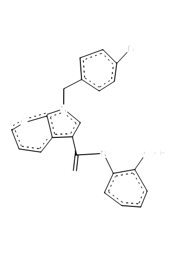 O=C(O)c1ccccc1NC(=O)c1cn(Cc2ccc(Br)cc2)c2ccccc12